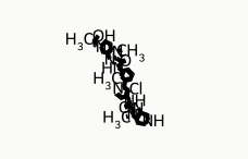 Cc1c(NC(=O)c2nc3c(n2C)CCN(C[C@H](C)O)C3)cccc1-c1nccc(NC(=O)c2nc3c(n2C)CCNC3)c1Cl